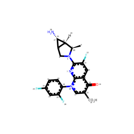 C[C@@H]1[C@H]2C(CN1c1nc3c(cc1F)c(=O)c(C(=O)O)cn3-c1ccc(F)cc1F)[C@@H]2N